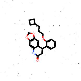 O=C1CC(c2ccccc2OCCCC2CCC2)c2cc3c(cc2N1)OCO3